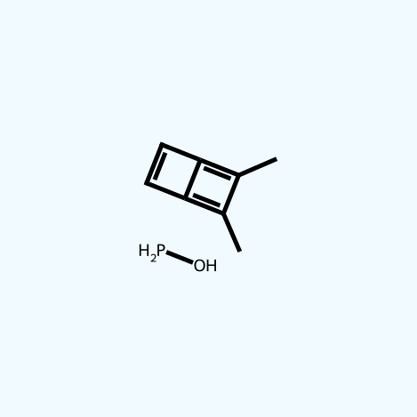 Cc1c2ccc-2c1C.OP